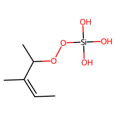 CC=C(C)C(C)OO[Si](O)(O)O